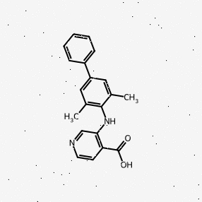 Cc1cc(-c2ccccc2)cc(C)c1Nc1cnccc1C(=O)O